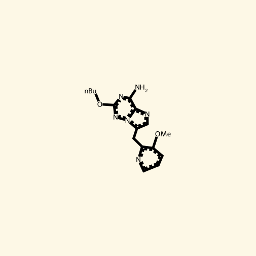 CCCCOc1nc(N)c2ncc(Cc3ncccc3OC)n2n1